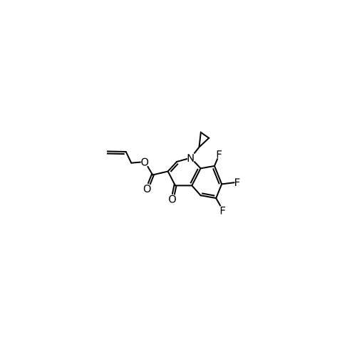 C=CCOC(=O)c1cn(C2CC2)c2c(F)c(F)c(F)cc2c1=O